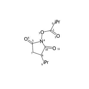 CC(C)C(=O)ON1C(=O)CC(C(C)C)C1=O